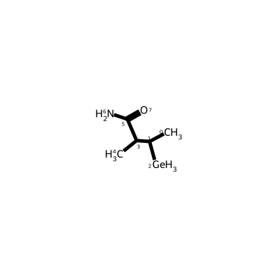 C[CH]([GeH3])C(C)C(N)=O